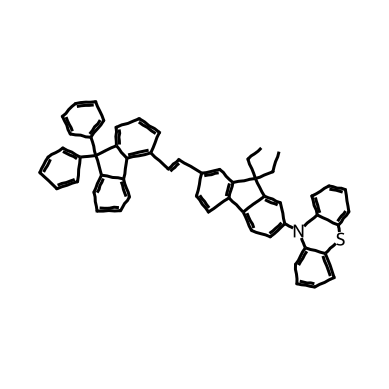 CCC1(CC)c2cc(/C=C/c3cccc4c3-c3ccccc3C4(c3ccccc3)c3ccccc3)ccc2-c2ccc(N3c4ccccc4Sc4ccccc43)cc21